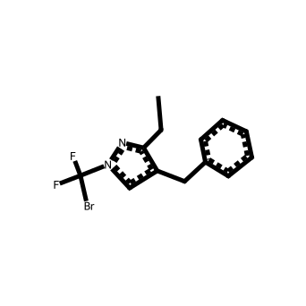 CCc1nn(C(F)(F)Br)cc1Cc1ccccc1